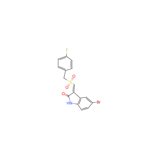 O=C1Nc2ccc(Br)cc2C1=CS(=O)(=O)Cc1ccc(F)cc1